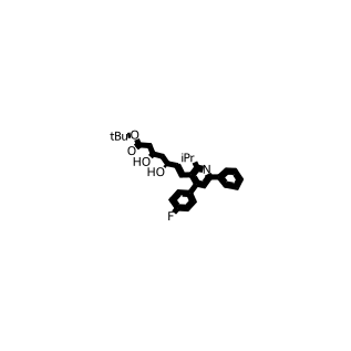 CC(C)c1nc(-c2ccccc2)cc(-c2ccc(F)cc2)c1C=C[C@@H](O)CC(O)CC(=O)OC(C)(C)C